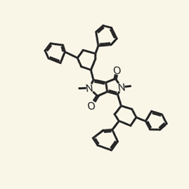 CN1C(=O)C2=C(C3CC(c4ccccc4)CC(c4ccccc4)C3)N(C)C(=O)C2=C1C1CC(c2ccccc2)CC(c2ccccc2)C1